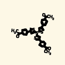 CC(=O)c1ccc(-c2csc([S+](c3cc(-c4ccc(C(C)=O)cc4)cs3)c3cc(-c4ccc(C(C)=O)cc4)cs3)c2)cc1